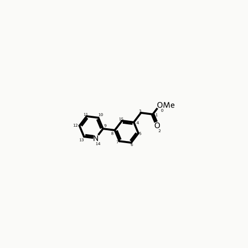 COC(=O)Cc1cccc(-c2ccccn2)c1